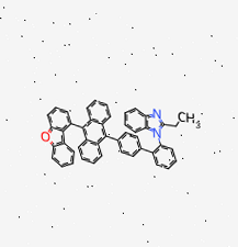 CCc1nc2ccccc2n1-c1ccccc1-c1ccc(-c2c3ccccc3c(-c3cccc4oc5ccccc5c34)c3ccccc23)cc1